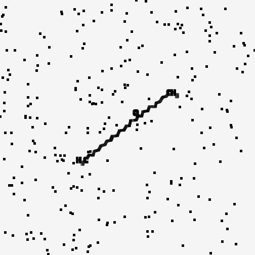 CCCCCCCCC=CCCCCCCCC(=O)CCCCCCCCCC